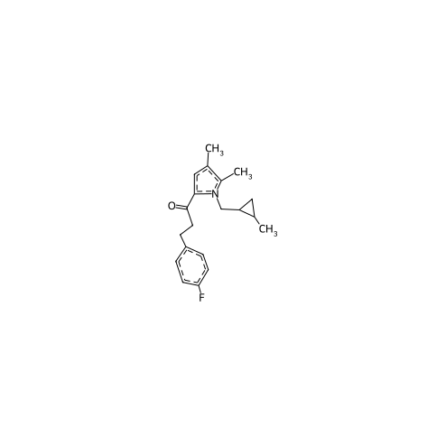 Cc1cc(C(=O)CCc2ccc(F)cc2)n(CC2CC2C)c1C